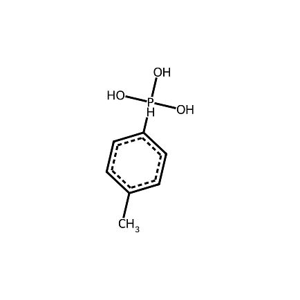 Cc1ccc([PH](O)(O)O)cc1